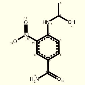 CC(O)Nc1ccc(C(N)=O)cc1[N+](=O)[O-]